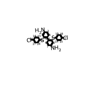 Nc1ccc(-c2ccc(N)cc2Sc2ccc(Cl)cc2)c(Sc2ccc(Cl)cc2)c1